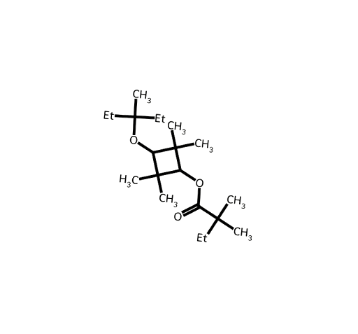 CCC(C)(CC)OC1C(C)(C)C(OC(=O)C(C)(C)CC)C1(C)C